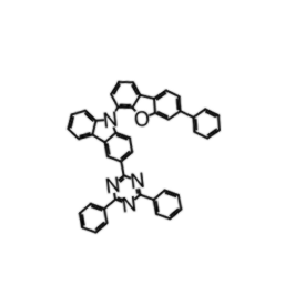 c1ccc(-c2ccc3c(c2)oc2c(-n4c5ccccc5c5cc(-c6nc(-c7ccccc7)nc(-c7ccccc7)n6)ccc54)cccc23)cc1